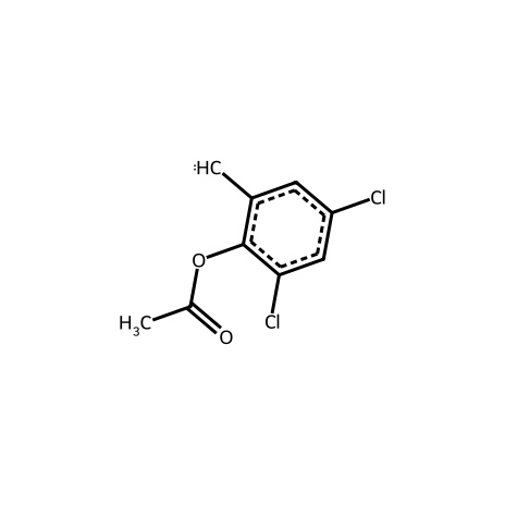 [CH]c1cc(Cl)cc(Cl)c1OC(C)=O